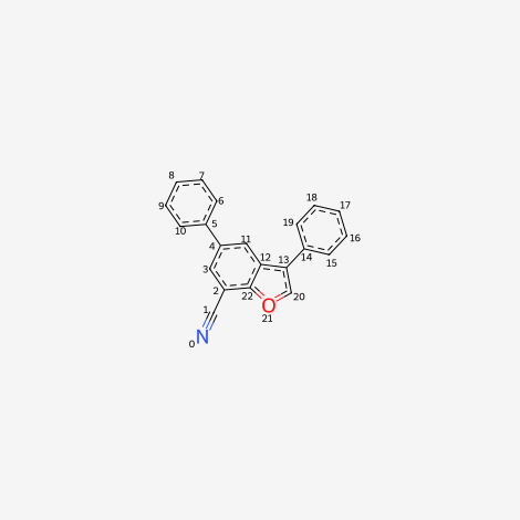 N#Cc1cc(-c2ccccc2)cc2c(-c3ccccc3)coc12